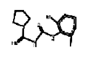 CCc1cccc(C)c1NC(=O)NC(=N)N1CCCC1